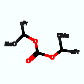 CCCC(OC)OC(=O)OC(CCC)OC